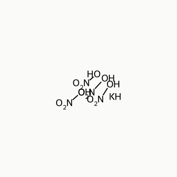 O=[N+]([O-])O.O=[N+]([O-])O.O=[N+]([O-])O.O=[N+]([O-])O.[KH]